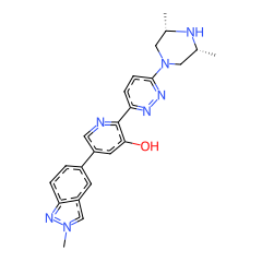 C[C@@H]1CN(c2ccc(-c3ncc(-c4ccc5nn(C)cc5c4)cc3O)nn2)C[C@H](C)N1